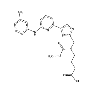 COC(=O)N(CCCC(=O)O)Cc1ncc(-c2cccc(Nc3cc(C)ccn3)n2)s1